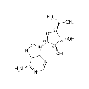 CC(C)[C@@H]1O[C@@H](N2C=NC3C(N)=NC=NC32)[C@H](O)[C@H]1O